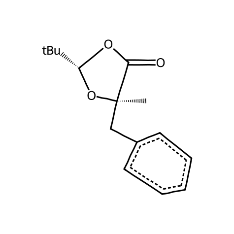 CC(C)(C)[C@@H]1OC(=O)[C@@](C)(Cc2ccccc2)O1